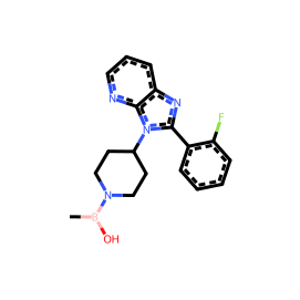 CB(O)N1CCC(n2c(-c3ccccc3F)nc3cccnc32)CC1